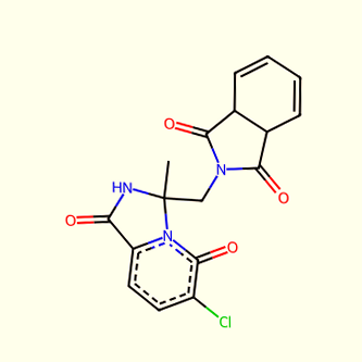 CC1(CN2C(=O)C3C=CC=CC3C2=O)NC(=O)c2ccc(Cl)c(=O)n21